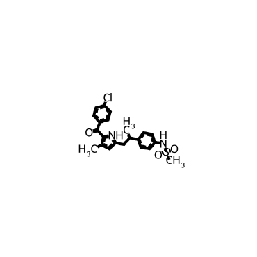 Cc1cc(CC(C)c2ccc(NS(C)(=O)=O)cc2)[nH]c1C(=O)c1ccc(Cl)cc1